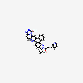 O=C(CCc1cccnc1)NC1(c2ccc(-c3nc4ccc5nnc(O)n5c4cc3-c3ccccc3)cc2)CCC1